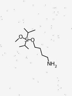 CO[Si](OCCCCN)(C(C)C)C(C)C